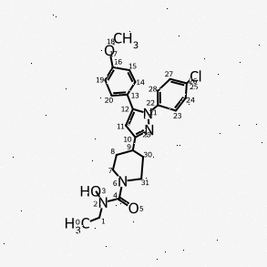 CCN(O)C(=O)N1CCC(c2cc(-c3ccc(OC)cc3)n(-c3ccc(Cl)cc3)n2)CC1